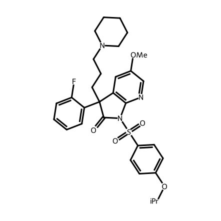 COc1cnc2c(c1)C(CCCN1CCCCC1)(c1ccccc1F)C(=O)N2S(=O)(=O)c1ccc(OC(C)C)cc1